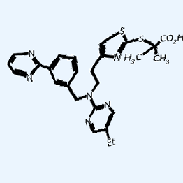 CCc1cnc(N(CCc2csc(SC(C)(C)C(=O)O)n2)Cc2cccc(-c3ncccn3)c2)nc1